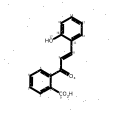 O=C(O)c1ccccc1C(=O)C=Cc1ccccc1O